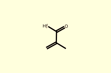 C=C(C)[C](=O)[Hf]